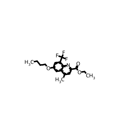 CCCCOc1cc(C(F)(F)F)c2nc(C(=O)OCC)cc(C)c2c1